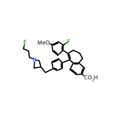 COc1ccc(C2=C(c3ccc(CC4CN(CCCF)C4)cc3)c3ccc(C(=O)O)cc3CCC2)c(F)c1